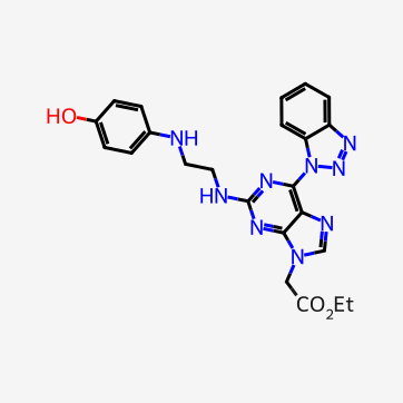 CCOC(=O)Cn1cnc2c(-n3nnc4ccccc43)nc(NCCNc3ccc(O)cc3)nc21